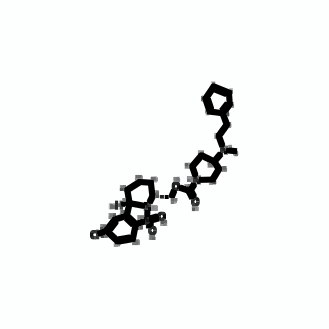 CN(CCc1ccccc1)C1CCN(C(=O)OC[C@H]2CCC[C@H]3c4cc(Cl)ccc4S(=O)(=O)N23)CC1